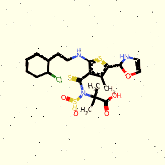 Cc1c(C2NC=CO2)sc(NCCC2CCCCC2Cl)c1C(=S)N([SH](=O)=O)C(C)(C)C(=O)O